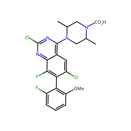 COc1cccc(F)c1-c1c(Cl)cc2c(N3CC(C)N(C(=O)O)CC3C)nc(Cl)nc2c1F